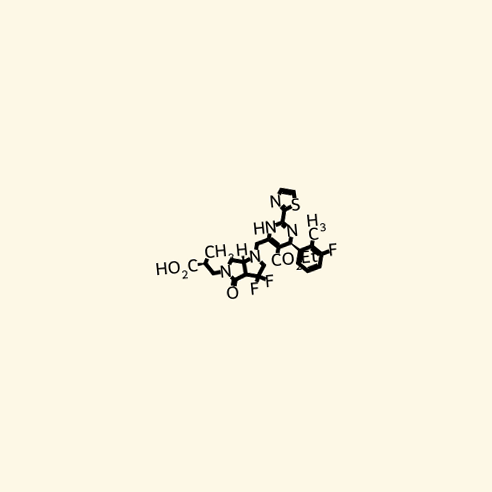 CCOC(=O)C1=C(CN2CC(F)(F)C3C(=O)N(C[C@H](C)C(=O)O)C[C@@H]32)NC(c2nccs2)=N[C@H]1c1cccc(F)c1C